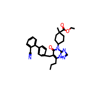 CCCc1c(Cc2ccc(-c3ccccc3C#N)cc2)c(=O)n(C2CCC(C)(C(=O)OCC)CC2)c2ncnn12